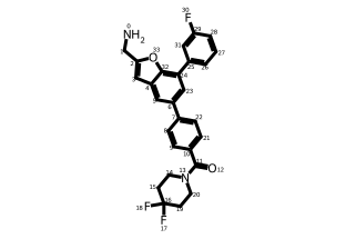 NCc1cc2cc(-c3ccc(C(=O)N4CCC(F)(F)CC4)cc3)cc(-c3cccc(F)c3)c2o1